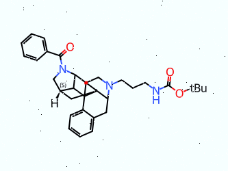 CC(C)(C)OC(=O)NCCCN1CCC23c4ccccc4CC1C21CCC2C3[C@@H](CN2C(=O)c2ccccc2)C1